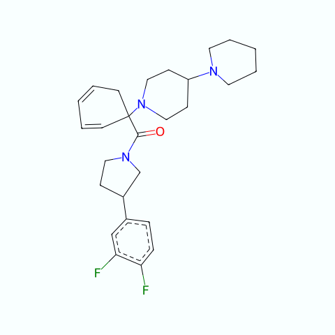 O=C(N1CCC(c2ccc(F)c(F)c2)C1)C1(N2CCC(N3CCCCC3)CC2)C=CC=CC1